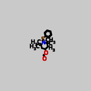 CC1(C)CC(OC=O)CC(C)(C)N1Sc1ccccc1